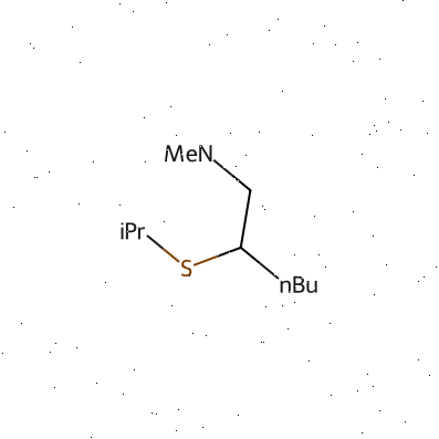 CCCCC(CNC)SC(C)C